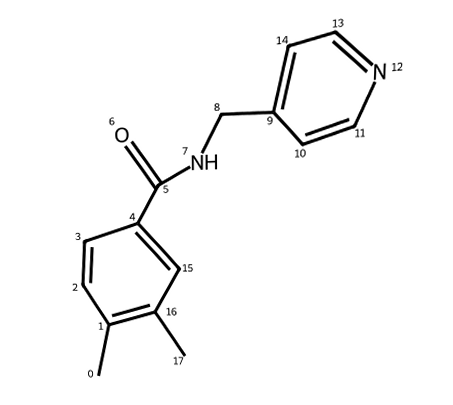 Cc1ccc(C(=O)NCc2ccncc2)cc1C